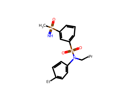 CCc1ccc(N(CC(C)C)S(=O)(=O)c2cccc(S(C)(=N)=O)c2)cc1